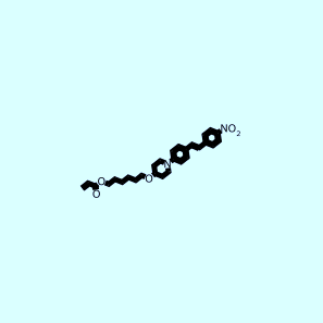 C=CC(=O)OCCCCCCOC1CCN(c2ccc(C=Cc3ccc([N+](=O)[O-])cc3)cc2)CC1